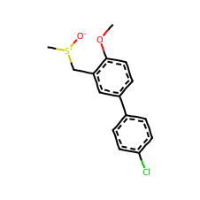 COc1ccc(-c2ccc(Cl)cc2)cc1C[S+](C)[O-]